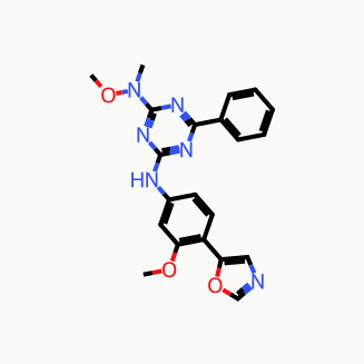 COc1cc(Nc2nc(-c3ccccc3)nc(N(C)OC)n2)ccc1-c1cnco1